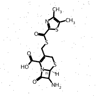 Cc1nc(C(=O)SCC2=C(C(=O)O)N3C(=O)C(N)[C@@H]3SC2)sc1C